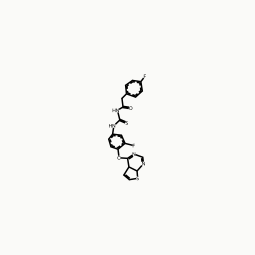 O=C(Cc1ccc(F)cc1)NC(=S)Nc1ccc(OC2=NC=NC3SC=CC23)c(F)c1